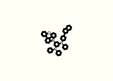 c1ccc(N(c2ccccc2)c2cc(N(c3ccccc3)c3ccc(-c4ccc5ccccc5c4)cc3)cc(-n3c4cccc5oc6ccccc6c6cccc3c6c54)c2)cc1